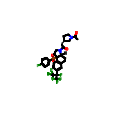 CC(=O)N1CC[C@@H](CC(=O)N2CC[C@@]3(S(=O)(=O)c4ccc(F)cc4)c4ccc(C(F)(C(F)(F)F)C(F)(F)F)cc4CC[C@@H]23)C1